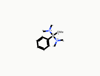 CO[Si](c1ccccc1)(N(C)C)N(C)C